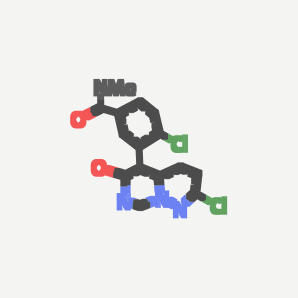 CNC(=O)c1ccc(Cl)c(-c2c(=O)ncn3nc(Cl)ccc23)c1